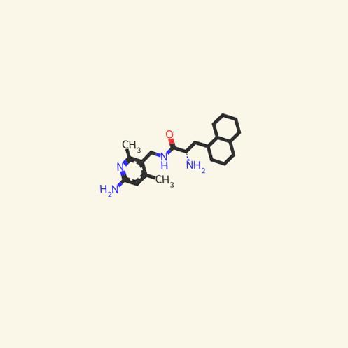 Cc1cc(N)nc(C)c1CNC(=O)[C@@H](N)CC1CCCC2CCCCC21